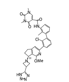 COc1nc(-c2cccc(-c3cccc(NC(=O)c4cn(C)c(=O)n(C)c4=O)c3C)c2Cl)cc2c1[C@@H](N1CC(c3nnn[nH]3)C1)CC2